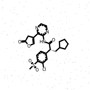 CS(=O)(=O)c1ccc([C@@H](CC2CCCC2)C(=O)Nc2nccnc2C2=COC(=O)C2)cc1Cl